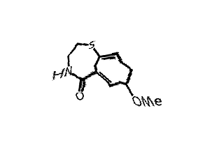 COC1C=C2C(=O)NCCSC2=CC1